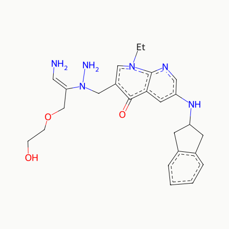 CCn1cc(CN(N)/C(=C\N)COCCO)c(=O)c2cc(NC3Cc4ccccc4C3)cnc21